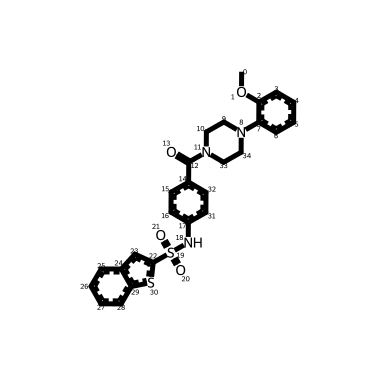 COc1ccccc1N1CCN(C(=O)c2ccc(NS(=O)(=O)c3cc4ccccc4s3)cc2)CC1